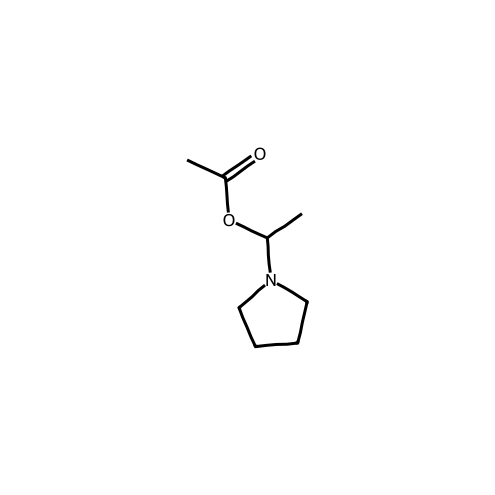 CC(=O)OC(C)N1CCCC1